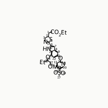 CCOC(=O)CC1CN=C(c2cc3cc(Oc4ccc(S(C)(=O)=O)cn4)cc(OC(CC)COC)c3[nH]2)S1